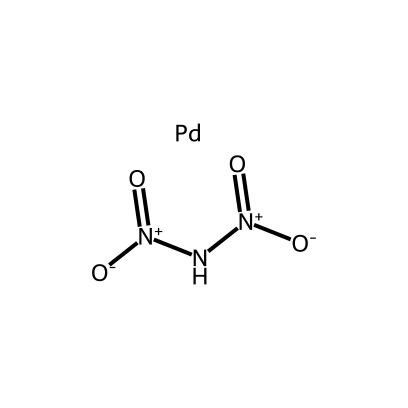 O=[N+]([O-])N[N+](=O)[O-].[Pd]